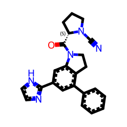 N#CN1CCC[C@H]1C(=O)N1CCc2c(-c3ccccc3)cc(-c3ncc[nH]3)cc21